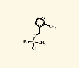 Cc1occc1CO[Si](C)(C)C(C)(C)C